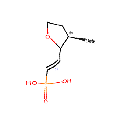 CO[C@@H]1CCOC1/C=C/P(=O)(O)O